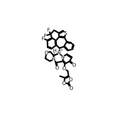 Cc1oc(=O)oc1COc1c2n(ccc1=O)N([C@@H]1c3ccccc3-c3scc4c3-c3c1ccc(F)c3C(F)(F)C4)[C@@H]1COCCN1C2=O